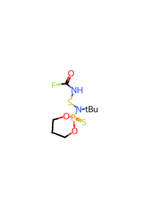 CC(C)(C)N(SNC(=O)F)P1(=S)OCCCO1